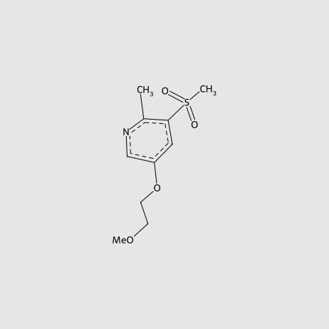 COCCOc1cnc(C)c(S(C)(=O)=O)c1